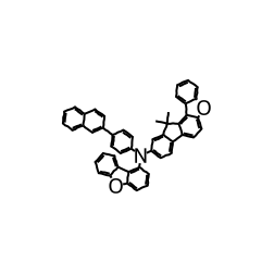 CC1(C)c2cc(N(c3ccc(-c4ccc5ccccc5c4)cc3)c3cccc4oc5ccccc5c34)ccc2-c2ccc3oc4ccccc4c3c21